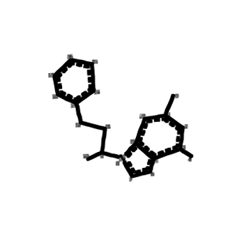 Cc1cc(C)c2ccn(C(C)CCc3ccccc3)c2c1